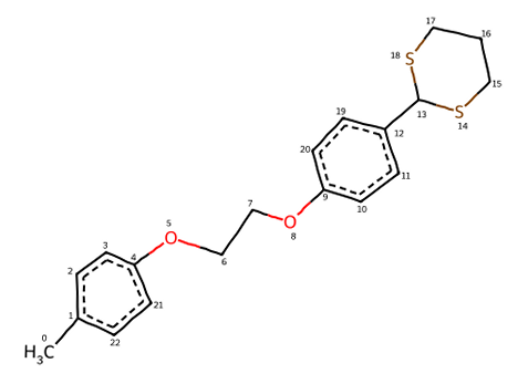 Cc1ccc(OCCOc2ccc(C3SCCCS3)cc2)cc1